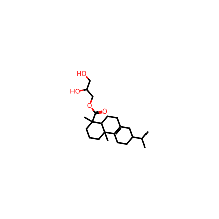 CC(C)C1CCC2=C(CCC3C(C)(C(=O)OCC(O)CO)CCCC23C)C1